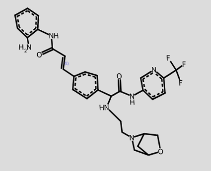 Nc1ccccc1NC(=O)/C=C/c1ccc(C(NCCN2CC3CC2CO3)C(=O)Nc2ccc(C(F)(F)F)nc2)cc1